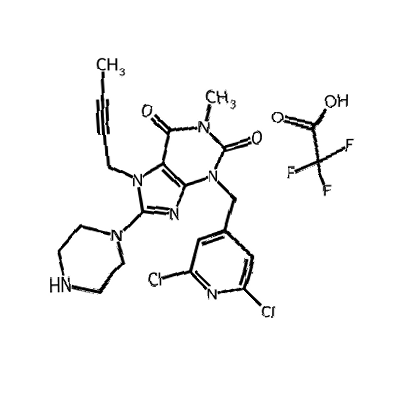 CC#CCn1c(N2CCNCC2)nc2c1c(=O)n(C)c(=O)n2Cc1cc(Cl)nc(Cl)c1.O=C(O)C(F)(F)F